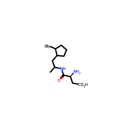 CC(CC1CCCC1C(C)(C)C)NC(=O)[C@@H](N)CC(=O)O